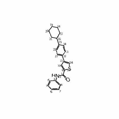 O=C(Nc1[c]cccc1)c1cc(-c2ccc(C3CCCCC3)cc2)cs1